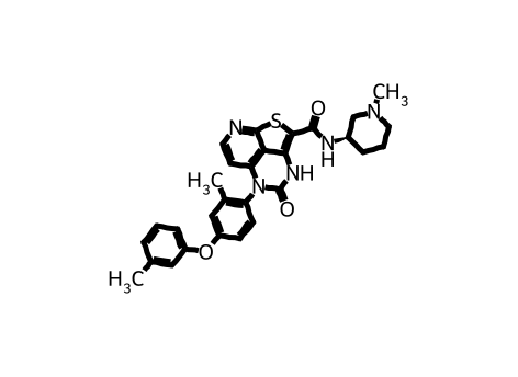 Cc1cccc(Oc2ccc(N3C(=O)Nc4c(C(=O)N[C@@H]5CCCN(C)C5)sc5nccc3c45)c(C)c2)c1